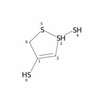 SC1=C[SH](S)SC1